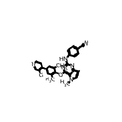 Cc1cc(-c2ccncc2Cl)cc(C)c1Oc1nc(Nc2ccc(C#N)cc2)nc2ccn(C)c12